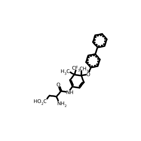 CC1(Oc2ccc(-c3ccccc3)cc2)C=CC(NC(=O)C(N)CC(=O)O)=CC1(C)C(F)(F)F